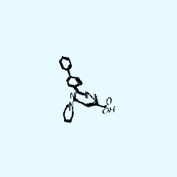 O=C(O)c1cc(N2CCCCC2)nc(-c2ccc(-c3ccccc3)cc2)n1